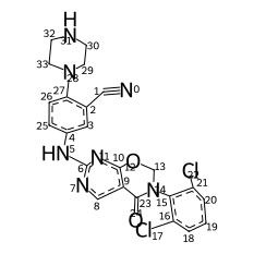 N#Cc1cc(Nc2ncc3c(n2)OCN(c2c(Cl)cccc2Cl)C3=O)ccc1N1CCNCC1